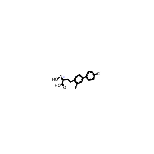 O=C(O)/C(CCc1ccc(-c2ccc(Cl)cc2)cc1F)=N\O